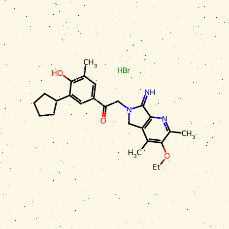 Br.CCOc1c(C)nc2c(c1C)CN(CC(=O)c1cc(C)c(O)c(C3CCCC3)c1)C2=N